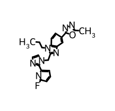 CCCn1c(Cn2ccnc2-c2cccc(F)n2)nc2cc(-c3nnc(C)o3)ccc21